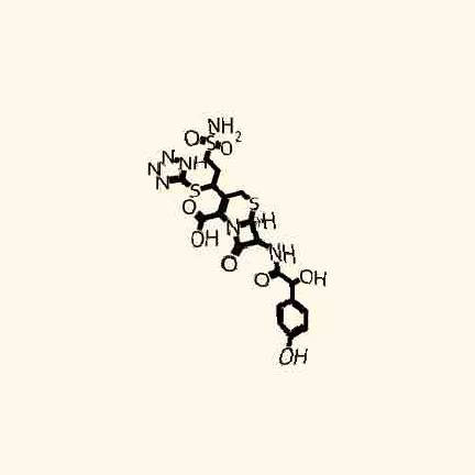 NS(=O)(=O)CCC(Sc1nnn[nH]1)C1=C(C(=O)O)N2C(=O)C(NC(=O)C(O)c3ccc(O)cc3)[C@@H]2SC1